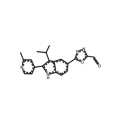 Cc1cc(-c2[nH]c3ccc(-c4nnc(C=O)o4)cc3c2C(C)C)ccn1